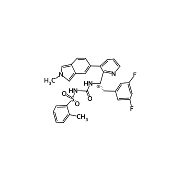 Cc1ccccc1S(=O)(=O)NC(=O)N[C@@H](Cc1cc(F)cc(F)c1)c1ncccc1-c1ccc2cn(C)cc2c1